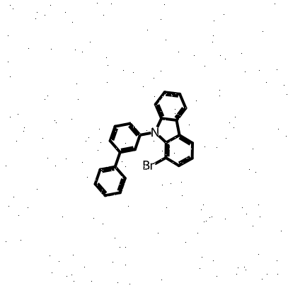 Brc1cccc2c3ccccc3n(-c3cccc(-c4ccccc4)c3)c12